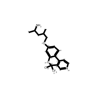 CC(N)CC(C)COc1ccc2c(c1)OC(Cl)(C(F)(F)F)c1cnccc1-2